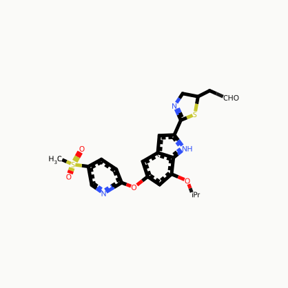 CC(C)Oc1cc(Oc2ccc(S(C)(=O)=O)cn2)cc2cc(C3=NCC(CC=O)S3)[nH]c12